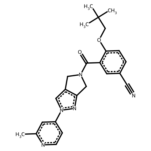 Cc1cc(-n2cc3c(n2)CN(C(=O)c2cc(C#N)ccc2OCC(C)(C)C)C3)ccn1